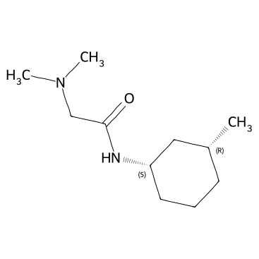 C[C@@H]1CCC[C@H](NC(=O)CN(C)C)C1